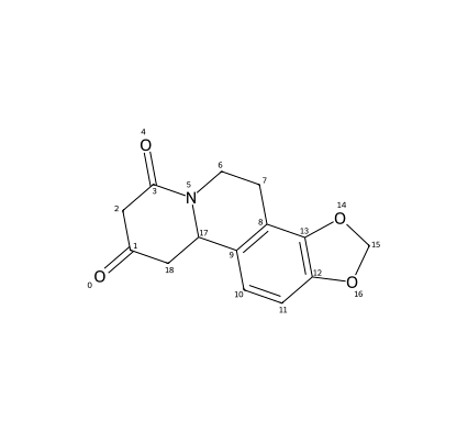 O=C1CC(=O)N2CCc3c(ccc4c3OCO4)C2C1